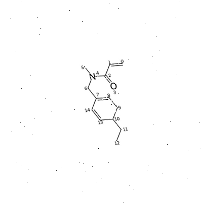 C=CC(=O)N(C)CC1=CCC(CC)C=C1